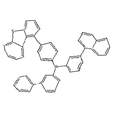 c1ccc(-c2cccc(N(c3ccc(-c4cccc5sc6ccccc6c45)cc3)c3cccc(-c4cccc5ccccc45)c3)c2)cc1